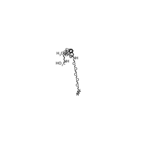 C[Si](C)(CCCNC(=O)O)O[Si](C)(C)c1cccc(CC(=O)NCCOCCOCCOCCOCCOCCN=[N+]=[N-])c1